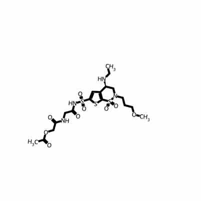 CCN[C@H]1CN(CCCOC)S(=O)(=O)c2sc(S(=O)(=O)NC(=O)CNC(=O)COC(C)=O)cc21